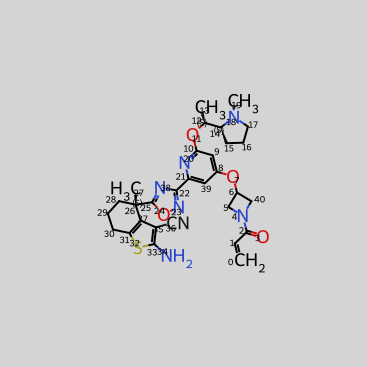 C=CC(=O)N1CC(Oc2cc(O[C@@H](C)[C@@H]3CCCN3C)nc(-c3noc([C@@]4(C)CCCc5sc(N)c(C#N)c54)n3)c2)C1